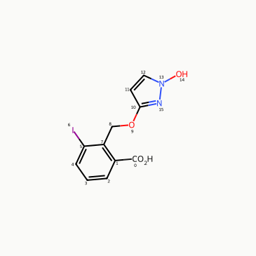 O=C(O)c1cccc(I)c1COc1ccn(O)n1